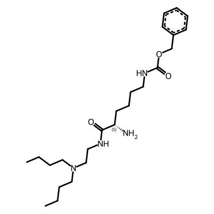 CCCCN(CCCC)CCNC(=O)[C@@H](N)CCCCNC(=O)OCc1ccccc1